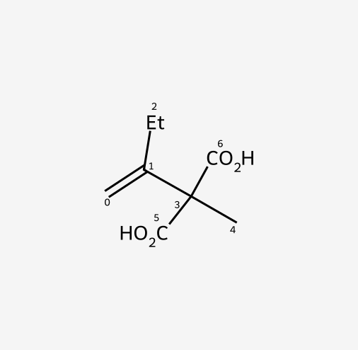 C=C(CC)C(C)(C(=O)O)C(=O)O